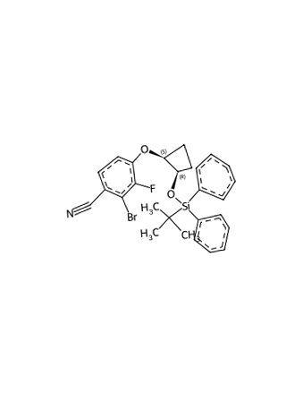 CC(C)(C)[Si](O[C@@H]1CC[C@@H]1Oc1ccc(C#N)c(Br)c1F)(c1ccccc1)c1ccccc1